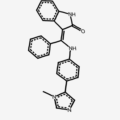 Cn1cncc1-c1ccc(N/C(=C2\C(=O)Nc3ccccc32)c2ccccc2)cc1